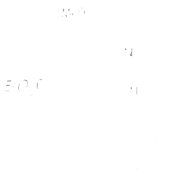 CCOC(=O)c1cn(CC2CC2)nc1OC